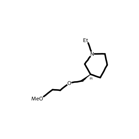 [CH2]CN1CCC[C@@H](COCCOC)C1